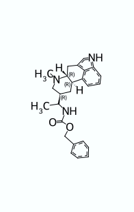 CC(NC(=O)OCc1ccccc1)[C@@H]1C[C@@H]2c3cccc4[nH]cc(c34)C[C@H]2N(C)C1